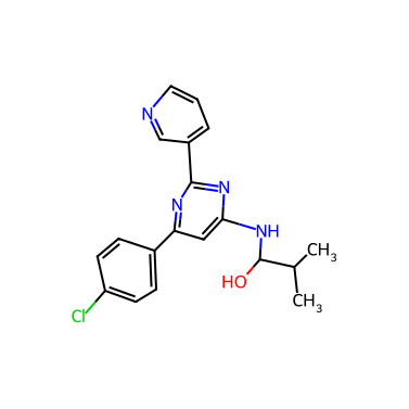 CC(C)C(O)Nc1cc(-c2ccc(Cl)cc2)nc(-c2cccnc2)n1